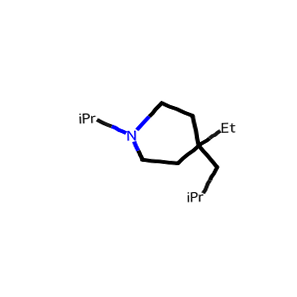 CCC1(CC(C)C)CCN(C(C)C)CC1